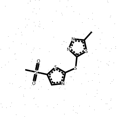 Cc1nnc(Sc2ncc(S(C)(=O)=O)s2)s1